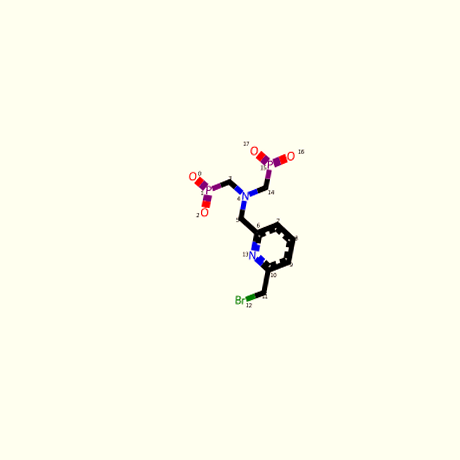 O=P(=O)CN(Cc1cccc(CBr)n1)CP(=O)=O